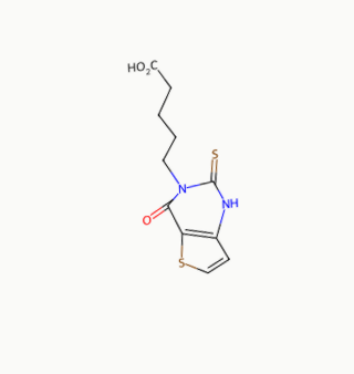 O=C(O)CCCCn1c(=S)[nH]c2ccsc2c1=O